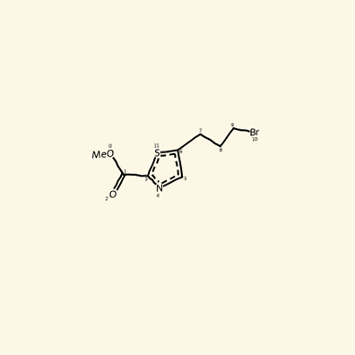 COC(=O)c1ncc(CCCBr)s1